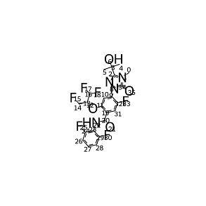 Cn1c(C(C)(C)O)nn(-c2cc(O[C@@H](CF)C(F)F)c(C(=O)Nc3c(F)cccc3F)cc2F)c1=O